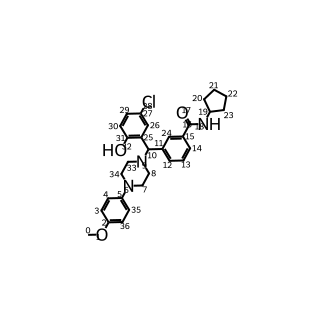 COc1ccc(N2CCN(C(c3cccc(C(=O)NC4CCCC4)c3)c3cc(Cl)ccc3O)CC2)cc1